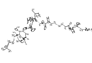 COC1C(OC(=O)N[C@@H](COC(=O)NCCCCCCNC(=O)CN)C(C)C)CC[C@]2(CO2)C1C(C)(C)CCC=C(C)C